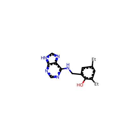 CCc1cc(CC)c(O)c(CNc2ncnc3[nH]cnc23)c1